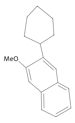 COc1cc2ccccc2cc1C1CCCCC1